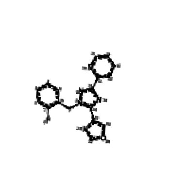 Fc1ccccc1Cn1nc(-c2ccccn2)nc1-c1cocn1